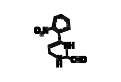 O=CC1NCC=C(c2ccccc2[N+](=O)[O-])N1